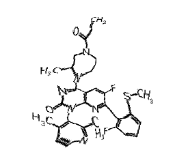 C=CC(=O)N1CCN(c2nc(=O)n(-c3c(C)ccnc3C)c3nc(-c4c(F)cccc4SC)c(F)cc23)[C@@H](C)C1